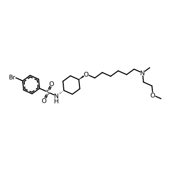 COCCN(C)CCCCCCO[C@H]1CC[C@H](NS(=O)(=O)c2ccc(Br)cc2)CC1